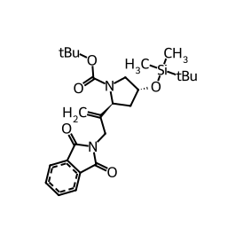 C=C(CN1C(=O)c2ccccc2C1=O)[C@@H]1C[C@@H](O[Si](C)(C)C(C)(C)C)CN1C(=O)OC(C)(C)C